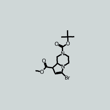 COC(=O)C1C=C(Br)N2CCN(C(=O)OC(C)(C)C)CC12